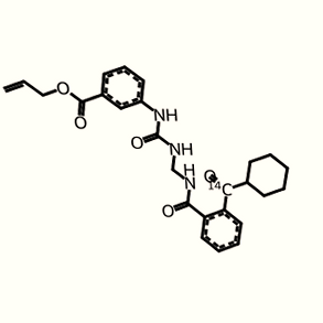 C=CCOC(=O)c1cccc(NC(=O)NCNC(=O)c2ccccc2[14C](=O)C2CCCCC2)c1